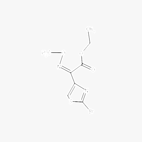 CCOC(=O)C(=NOC)c1csc(Br)n1